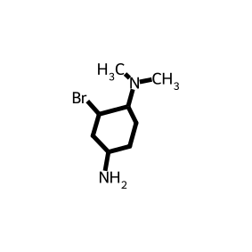 CN(C)C1CCC(N)CC1Br